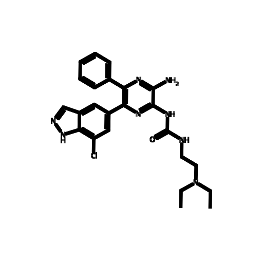 CCN(CC)CCNC(=O)Nc1nc(-c2cc(Cl)c3[nH]ncc3c2)c(-c2ccccc2)nc1N